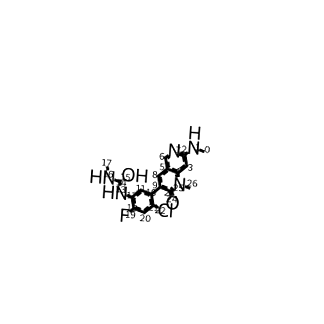 CNc1cc2c(cn1)cc(-c1cc(NC(O)NC)c(F)cc1Cl)c(=O)n2C